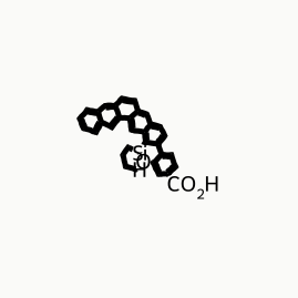 O=C(O)c1ccc(-c2ccc3cc4ccc5cc6ccccc6cc5c4cc3c2[SiH]2CCCCO2)cc1